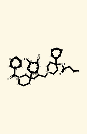 CCCC(=O)NC1(c2ccccc2)CCN(CCCC2(c3ccc(Cl)c(Cl)c3)CCCN(C(=O)c3ccccc3)C2)CC1